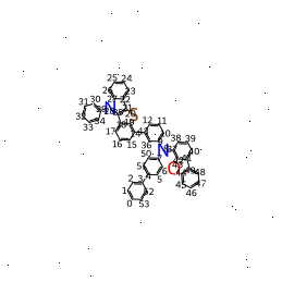 c1ccc(-c2ccc(N(c3cccc(-c4cccc5c4sc4c6ccccc6n(-c6ccccc6)c54)c3)c3cccc4c3oc3ccccc34)cc2)cc1